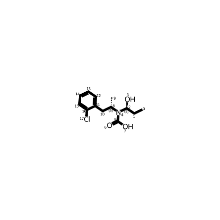 CC[C@H](O)N(C(=O)O)[C@@H](C)Cc1ccccc1Cl